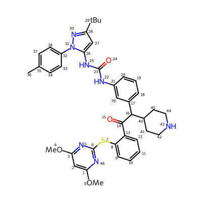 COc1cc(OC)nc(Sc2ccccc2C(=O)C(c2cccc(NC(=O)Nc3cc(C(C)(C)C)nn3-c3ccc(C)cc3)c2)C2CCNCC2)n1